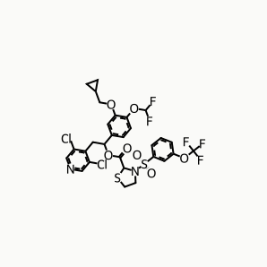 O=C(OC(Cc1c(Cl)cncc1Cl)c1ccc(OC(F)F)c(OCC2CC2)c1)C1SCCN1S(=O)(=O)c1cccc(OC(F)(F)F)c1